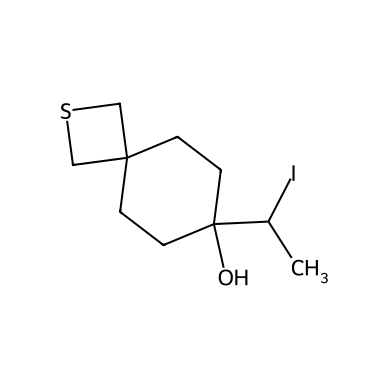 CC(I)C1(O)CCC2(CC1)CSC2